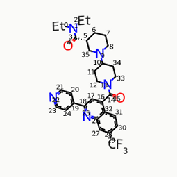 CCN(CC)C(=O)[C@@H]1CCCN(C2CCN(C(=O)c3cc(-c4ccncc4)nc4cc(C(F)(F)F)ccc34)CC2)C1